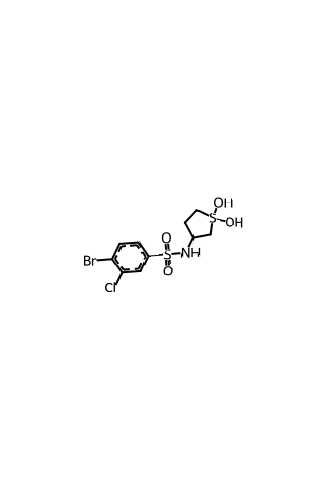 O=S(=O)(NC1CCS(O)(O)C1)c1ccc(Br)c(Cl)c1